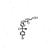 C#CC(CC)(c1ccc(Br)cc1)c1csc(NC(=O)NCCO)n1